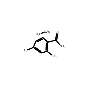 CC(=O)c1ccc(C(N)=O)c(C)c1.COC(C)=O